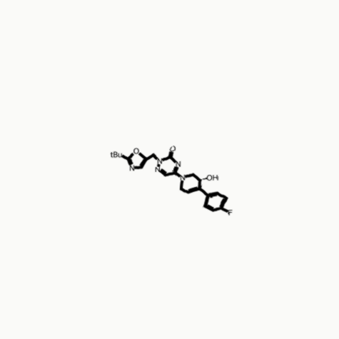 CC(C)(C)c1ncc(Cn2ncc(N3CC=C(c4ccc(F)cc4)[C@@H](O)C3)nc2=O)o1